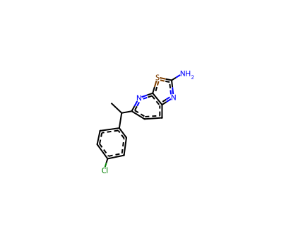 CC(c1ccc(Cl)cc1)c1ccc2nc(N)sc2n1